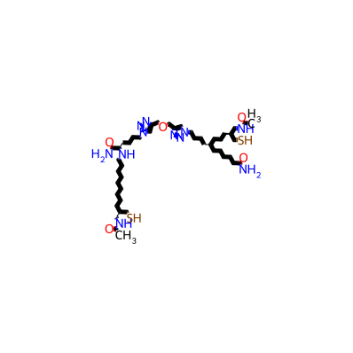 CC(=O)NC[C@@H](CS)CCCCCCCCCN[C@@H](CCCCn1cc(COCc2cn(CCCC[C@@H](CCCCCC(N)=O)CCC[C@H](CS)CNC(C)=O)nn2)nn1)C(N)=O